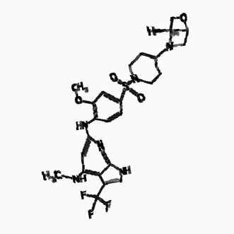 CNc1cc(Nc2ccc(S(=O)(=O)N3CCC(N4CC5OC[C@H]54)CC3)cc2OC)nc2[nH]cc(C(F)(F)F)c12